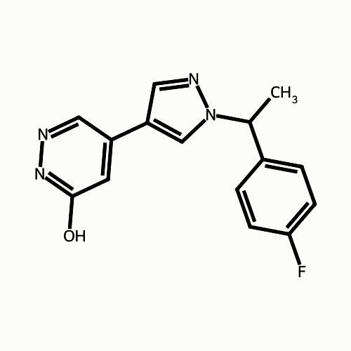 CC(c1ccc(F)cc1)n1cc(-c2cnnc(O)c2)cn1